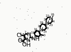 Cc1cc(Nc2ncc(Cl)c(C(=O)O)n2)ccc1N1CCC(N2CCN(C)CC2)CC1